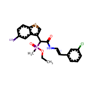 CCOP(C)(=O)C(C(=O)N/C=C/c1cccc(Cl)c1)c1csc2ccc([123I])cc12